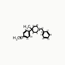 COc1ccc(C2(C)CCN(Cc3ccccc3)CC2)cc1